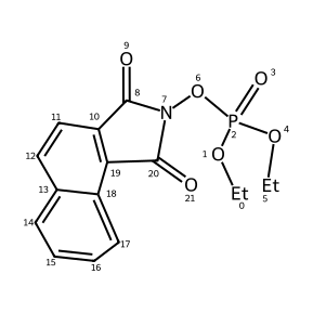 CCOP(=O)(OCC)ON1C(=O)c2ccc3ccccc3c2C1=O